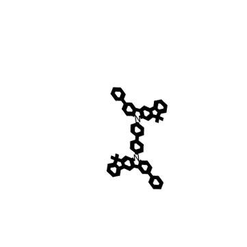 CC1(C)c2ccccc2-c2cc3c4cc(-c5ccccc5)ccc4n(-c4ccc(-c5ccc(-n6c7ccc(-c8ccccc8)cc7c7cc8c(cc76)C(C)(C)c6ccccc6-8)cc5)cc4)c3cc21